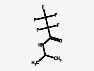 CC(C)NC(=O)C(F)(F)C(F)(F)F